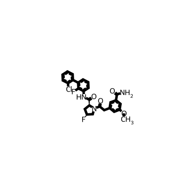 COc1cc(CC(=O)N2C[C@H](F)C[C@H]2C(=O)Nc2cccc(-c3ccccc3Cl)c2F)cc(C(N)=O)c1